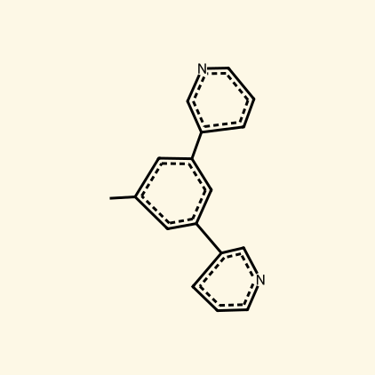 Cc1cc(-c2cccnc2)cc(-c2cccnc2)c1